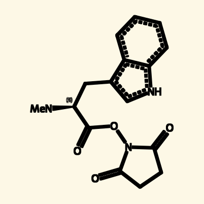 CN[C@@H](Cc1c[nH]c2ccccc12)C(=O)ON1C(=O)CCC1=O